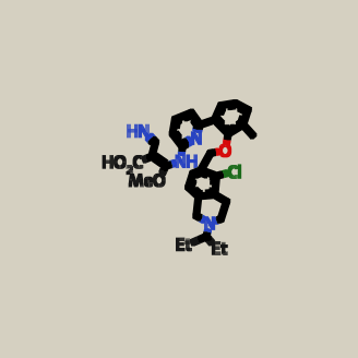 CCC(CC)N1CCc2c(ccc(COc3c(C)cccc3-c3cccc(N/C(OC)=C(\C=N)C(=O)O)n3)c2Cl)C1